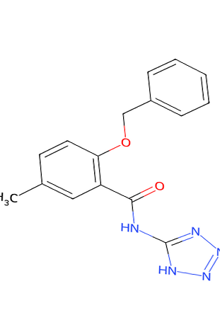 Cc1ccc(OCc2ccccc2)c(C(=O)Nc2nnn[nH]2)c1